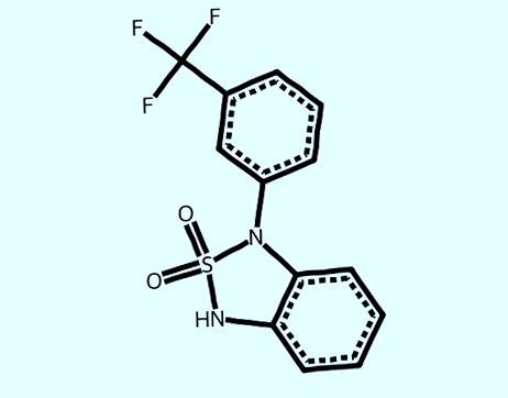 O=S1(=O)Nc2ccccc2N1c1cccc(C(F)(F)F)c1